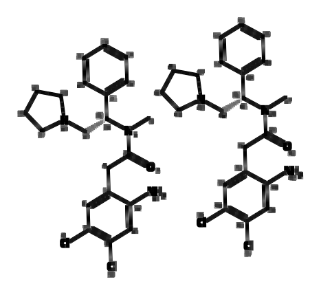 CN(C(=O)Cc1cc(Cl)c(Cl)cc1N)[C@H](CN1CCCC1)c1ccccc1.CN(C(=O)Cc1cc(Cl)c(Cl)cc1N)[C@H](CN1CCCC1)c1ccccc1